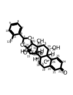 CSC(=O)[C@@]12OC(c3ccccc3F)O[C@@H]1C[C@H]1[C@@H]3CCC4=CC(=O)C=C[C@]4(C)[C@H]3[C@@H](O)C[C@@]12C